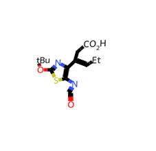 CCC=C(CC(=O)O)c1nc(OC(C)(C)C)sc1N=C=O